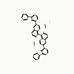 OCCOc1ccc2cc(-c3cccc4c3oc3ccccc34)ccc2c1-c1c(OCCO)ccc2cc(-c3cccc4c3oc3ccccc34)ccc12